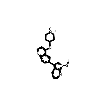 CN1CCC(Nc2ccnc3ccc(-c4cn(SI)c5ncccc45)cc23)CC1